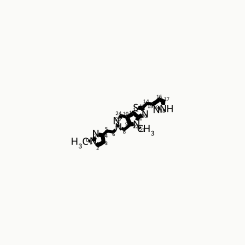 Cn1ccc(CCN2Cc3c(c4sc(Cc5cc[nH]n5)nc4n3C)C=N2)n1